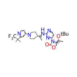 C[C@H](Nc1nccc(N2C(=O)OC[C@@H]2[C@H](C)OC(C)(C)C)n1)C1CCN(c2ccnc(C(C)(C)C(F)(F)F)c2)CC1